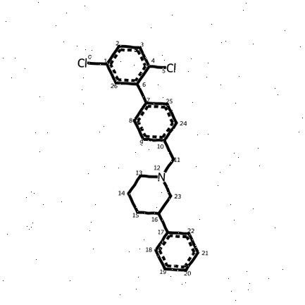 Clc1ccc(Cl)c(-c2ccc(CN3CCCC(c4ccccc4)C3)cc2)c1